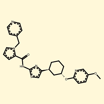 COc1ccc(O[C@H]2CCC[C@H](c3csc(NC(=O)c4cccn4Cc4ccncc4)n3)C2)nc1